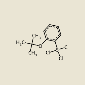 CC(C)(C)Oc1ccccc1[Si](Cl)(Cl)Cl